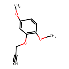 C#CCOc1cc(OC)ccc1OC